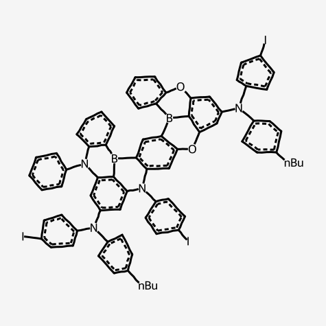 CCCCc1ccc(N(c2ccc(I)cc2)c2cc3c4c(c2)Oc2cc5c(cc2B4c2ccccc2O3)B2c3ccccc3N(c3ccccc3)c3cc(N(c4ccc(I)cc4)c4ccc(CCCC)cc4)cc(c32)N5c2ccc(I)cc2)cc1